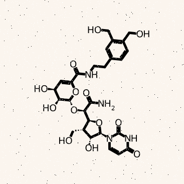 NC(=O)[C@H](O[C@H]1OC(C(=O)NCCc2ccc(CO)c(CO)c2)=C[C@H](O)[C@@H]1O)[C@H]1O[C@@H](n2ccc(=O)[nH]c2=O)[C@H](O)[C@@H]1CO